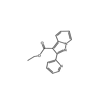 CCOC(=O)c1c(-c2ccccn2)nn2ccccc12